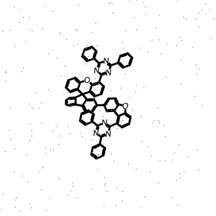 c1ccc(-c2nc(-c3ccccc3)nc(-c3cccc4c3Oc3ccccc3C43c4ccccc4-c4ccc(-c5ccc6oc7cccc(-c8nc(-c9ccccc9)nc(-c9ccccc9)n8)c7c6c5)cc43)n2)cc1